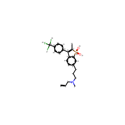 C=CCN(C)CCCc1ccc2c(c1)S(=O)(=O)C(C)=C2c1ccc(C(F)(F)F)cc1